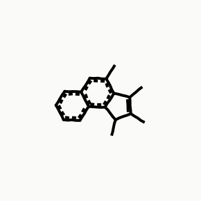 CC1=C(C)C(C)c2c1c(C)cc1ccccc21